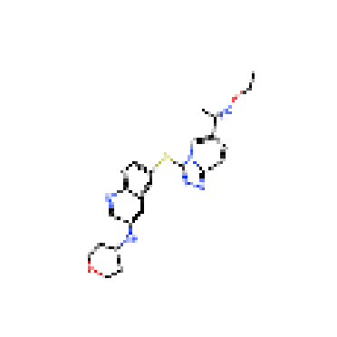 CCO/N=C(\C)c1ccc2nnc(Sc3ccc4ncc(NC5CCOCC5)cc4c3)n2c1